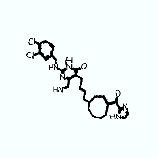 N=Cc1nc(NCc2ccc(Cl)c(Cl)c2)[nH]c(=O)c1CCCCC1CCCCC(C(=O)c2ncc[nH]2)CC1